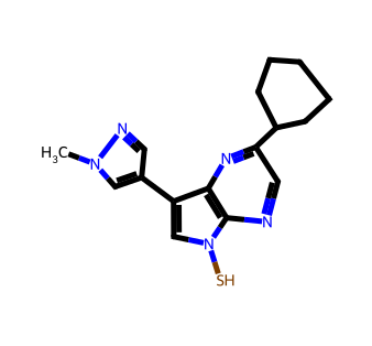 Cn1cc(-c2cn(S)c3ncc(C4CCCCC4)nc23)cn1